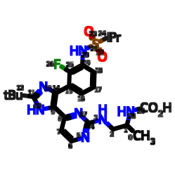 CC(CNc1nccc(-c2[nH]c(C(C)(C)C)nc2-c2cccc(NS(=O)(=O)C(C)C)c2F)n1)NC(=O)O